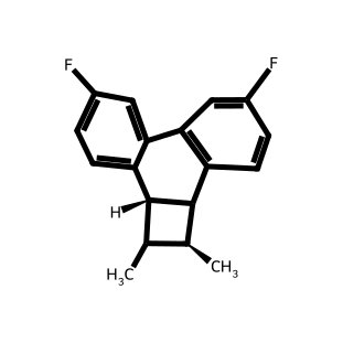 CC1[C@H](C)C2c3ccc(F)cc3-c3cc(F)ccc3[C@@H]12